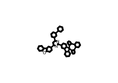 c1ccc(-c2cccc(-c3cc(-c4ccc5oc6ccccc6c5c4)nc(-c4ccc5c(c4)-c4ccccc4C54c5ccccc5-c5ccccc5-c5ccccc54)n3)c2)cc1